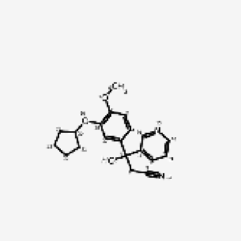 COc1ccc(C(O)(CC#N)c2cccnc2)cc1OC1CCCC1